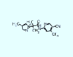 Cc1cnn(C(C)(C)C(=O)Nc2cc(C(F)(F)F)c(C#N)cn2)c1